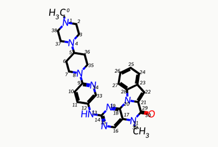 CN1CCN(C2CCN(c3ccc(Nc4ncc5c(n4)n4c(cc6ccccc64)c(=O)n5C)cn3)CC2)CC1